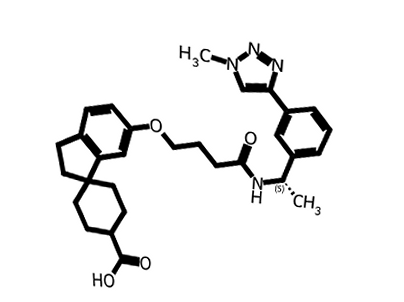 C[C@H](NC(=O)CCCOc1ccc2c(c1)C1(CC2)CCC(C(=O)O)CC1)c1cccc(-c2cn(C)nn2)c1